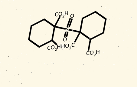 O=C(O)C1CCCCC1(C(=O)O)S(=O)(=O)C1(C(=O)O)CCCCC1C(=O)O